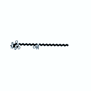 CCCCCCCCCCCCCCCCCCNCC(O)CCCCCCCCCn1c(=O)c2c(ncn2C)n(C)c1=O